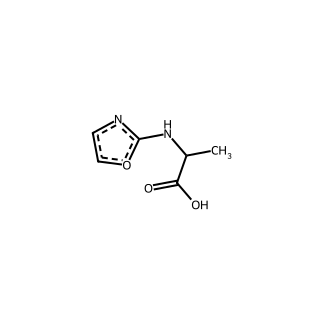 CC(Nc1ncco1)C(=O)O